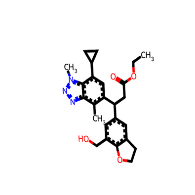 CCOC(=O)CC(c1cc(CO)c2c(c1)CCO2)c1cc(C2CC2)c2c(nnn2C)c1C